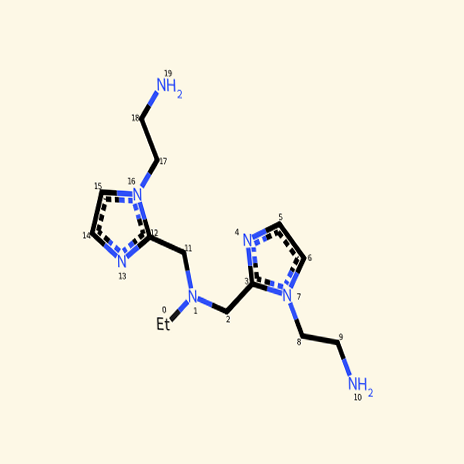 CCN(Cc1nccn1CCN)Cc1nccn1CCN